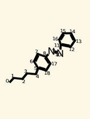 CCCCCc1ccc(N=Nc2cc[c]cc2)cc1